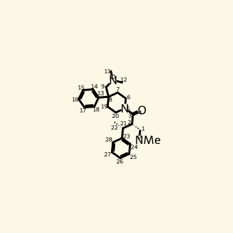 CNC[C@@H](C(=O)N1CCC(CN(C)C)(c2ccccc2)CC1)[C@@H](C)c1ccccc1